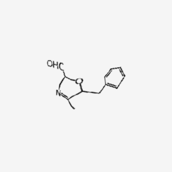 CC1=NCC(C=O)OC1Cc1ccccc1